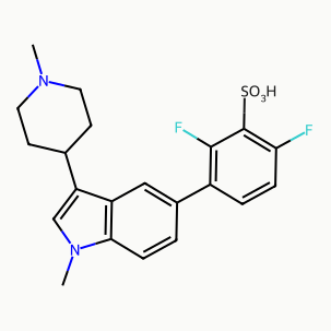 CN1CCC(c2cn(C)c3ccc(-c4ccc(F)c(S(=O)(=O)O)c4F)cc23)CC1